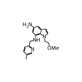 COCCn1ccc2cc(N)cc(NCc3ccc(C)cn3)c21